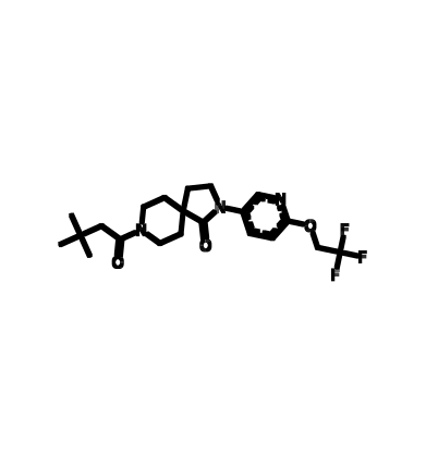 CC(C)(C)CC(=O)N1CCC2(CC1)CCN(c1ccc(OCC(F)(F)F)nc1)C2=O